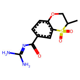 CC1COc2ccc(C(=O)N=C(N)N)cc2S1(=O)=O